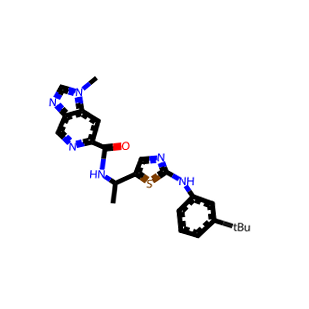 CC(NC(=O)c1cc2c(cn1)ncn2C)c1cnc(Nc2cccc(C(C)(C)C)c2)s1